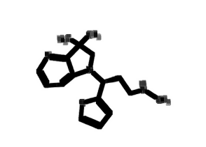 CNCC[C@@H](c1cccs1)N1CC(C)(C)c2ncccc21